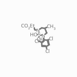 CCOC(=O)CN1CC(C)CN(c2c(Cl)cc(Cl)cc2Cl)S1(O)O